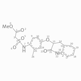 COC(=O)CS(=O)(=O)Nc1ccc(OC(Cc2ccccc2)C(N)=O)cc1C